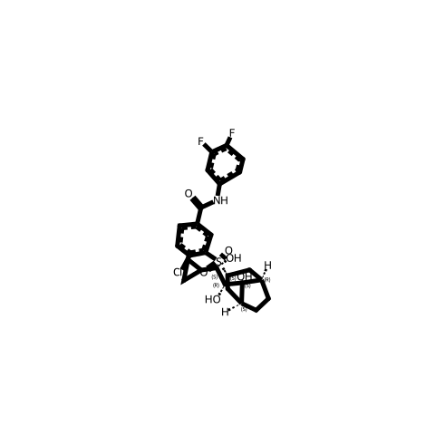 O=C(Nc1ccc(F)c(F)c1)c1ccc(Cl)c(S(=O)(=O)[C@@H]2C[C@H]3CC[C@@H](C2)[C@@]3(O)[C@H](O)[C@@H](O)C2CC2)c1